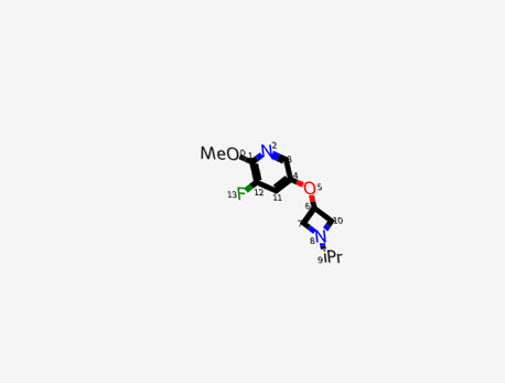 COc1ncc(OC2CN(C(C)C)C2)cc1F